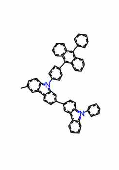 Cc1ccc2c(c1)c1ccc(-c3ccc4c(c3)c3ccccc3n4-c3ccccc3)cc1n2-c1ccc(-c2c3ccccc3c(-c3ccccc3)c3ccccc23)cc1